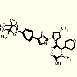 C[C@H]1C[C@@H](c2ncc(-c3ccc(B4OC(C)(C)C(C)(C)O4)cc3)[nH]2)N(C(=O)[C@H](C2CCOCC2)N(C)C(=O)O)C1